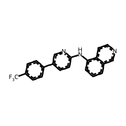 FC(F)(F)c1ccc(-c2ccc(Nc3cccc4cnccc34)nc2)cc1